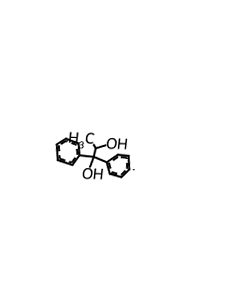 CC(O)C(O)(c1cc[c]cc1)c1ccccc1